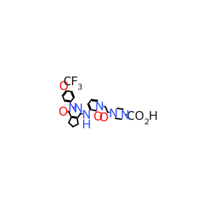 O=C(O)N1CCN(C(=O)Cn2cccc(Nc3nn(-c4ccc(OC(F)(F)F)cc4)c(=O)c4c3CCC4)c2=O)CC1